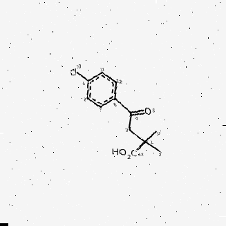 CC(C)(CC(=O)c1ccc(Cl)cc1)C(=O)O